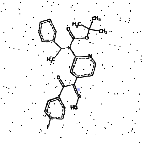 CC(c1ccccc1)N(C(=O)OC(C)(C)C)c1cc(/C(=N/O)C(=O)c2ccc(F)cc2)ccn1